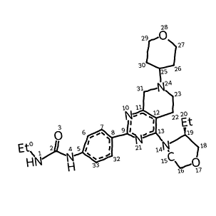 CCNC(=O)Nc1ccc(-c2nc3c(c(N4CCOC[C@@H]4CC)n2)CCN(C2CCOCC2)C3)cc1